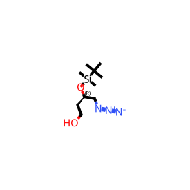 CC(C)(C)[Si](C)(C)O[C@H](CCO)CN=[N+]=[N-]